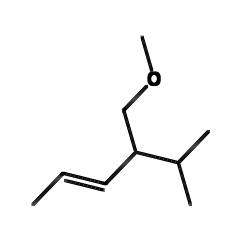 CC=CC(COC)C(C)C